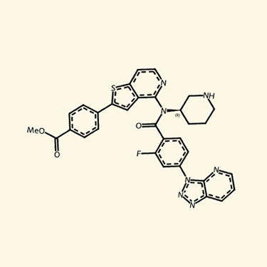 COC(=O)c1ccc(-c2cc3c(N(C(=O)c4ccc(-n5nnc6cccnc65)cc4F)[C@@H]4CCCNC4)nccc3s2)cc1